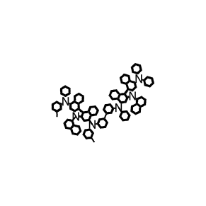 Cc1cccc(N(c2ccccc2)c2cc3c(c4ccccc24)c2c4ccccc4c(N(c4cccc(C)c4)c4cccc(-c5cccc(N(c6ccccc6)c6cc7c(c8ccccc68)c6c8ccccc8c(N(c8ccccc8)c8ccccc8)cc6n7-c6cccc7ccccc67)c5)c4)cc2n3-c2cccc3ccccc23)c1